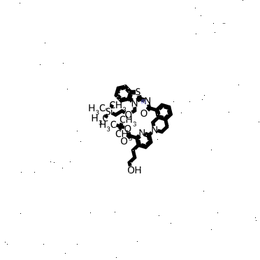 CC(C)(C)OC(=O)c1nc(N2CCc3cccc(C(=O)/N=c4/sc5ccccc5n4COCC[Si](C)(C)C)c3C2)ccc1CCCO